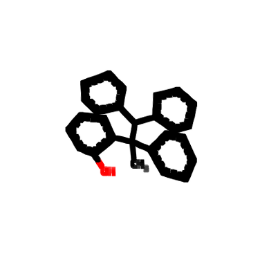 CC(c1ccccc1)(c1ccccc1O)C(c1ccccc1)c1ccccc1